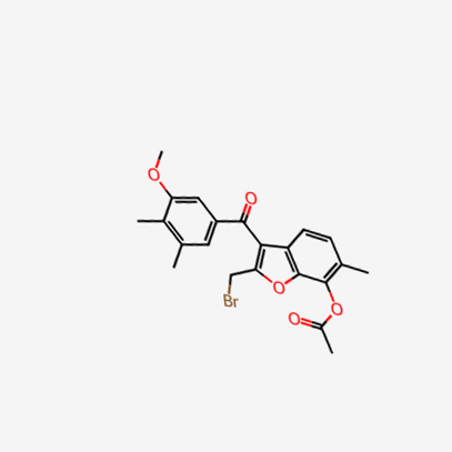 COc1cc(C(=O)c2c(CBr)oc3c(OC(C)=O)c(C)ccc23)cc(C)c1C